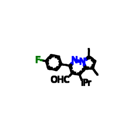 Cc1cc(C)n2nc(-c3ccc(F)cc3)c(C=O)c(C(C)C)c12